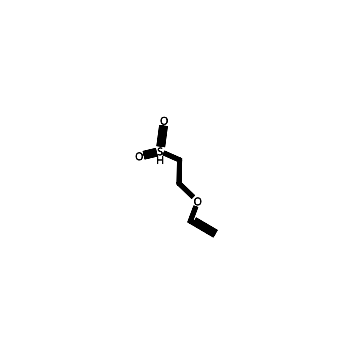 C=COCC[SH](=O)=O